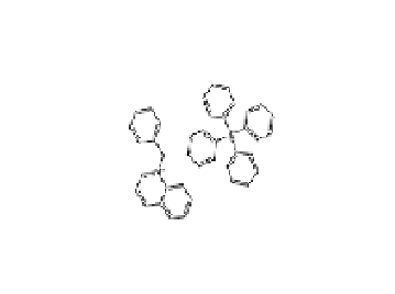 c1ccc(C[n+]2cccc3ccccc32)cc1.c1ccc([B-](c2ccccc2)(c2ccccc2)c2ccccc2)cc1